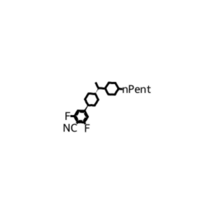 CCCCCC1CCC(C(C)[C@H]2CC[C@H](c3cc(F)c(C#N)c(F)c3)CC2)CC1